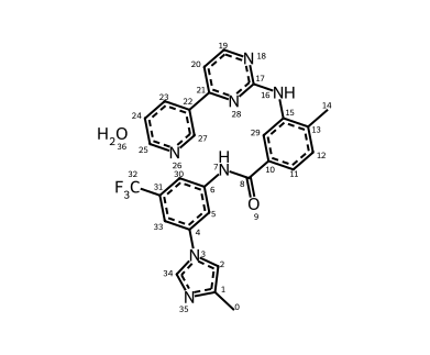 Cc1cn(-c2cc(NC(=O)c3ccc(C)c(Nc4nccc(-c5cccnc5)n4)c3)cc(C(F)(F)F)c2)cn1.O